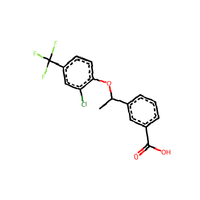 CC(Oc1ccc(C(F)(F)F)cc1Cl)c1cccc(C(=O)O)c1